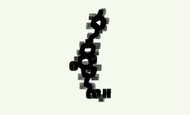 Cc1ccc(CCN2CCC3(CC2)CC(=O)c2cc(/C=C/C(=O)O)ccc2O3)cc1